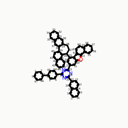 c1ccc(-c2ccc(-c3nc(-c4ccc5ccccc5c4)nc(-c4cc(C5CCc6cc7ccccc7cc6-c6ccc7ccccc7c65)c5c(c4)oc4c6ccccc6ccc45)n3)cc2)cc1